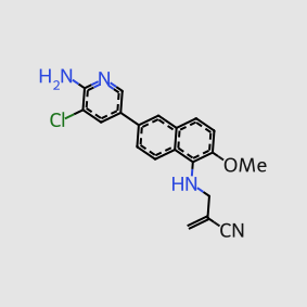 C=C(C#N)CNc1c(OC)ccc2cc(-c3cnc(N)c(Cl)c3)ccc12